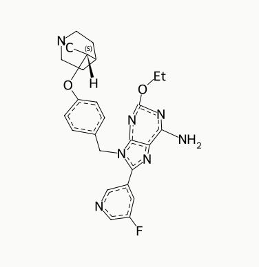 CCOc1nc(N)c2nc(-c3cncc(F)c3)n(Cc3ccc(O[C@@H]4CN5CCC4CC5)cc3)c2n1